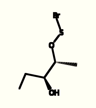 CC[C@H](O)[C@@H](C)OSBr